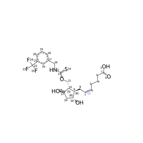 O=C(O)CCC/C=C\C[C@@H]1[C@@H](COC(=S)NCc2cccc(C(F)(F)F)c2)[C@H](O)C[C@H]1O